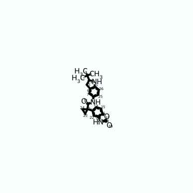 CC(C)(C)C1Cc2cc(NC(=O)C3(c4ccc5oc(=O)[nH]c5c4)CC3)ccc2N1